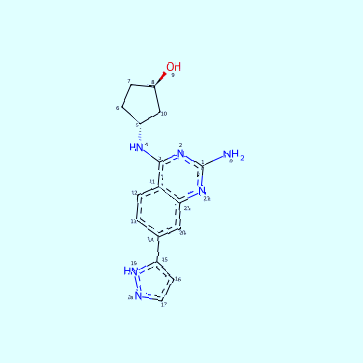 Nc1nc(N[C@@H]2CC[C@@H](O)C2)c2ccc(-c3ccn[nH]3)cc2n1